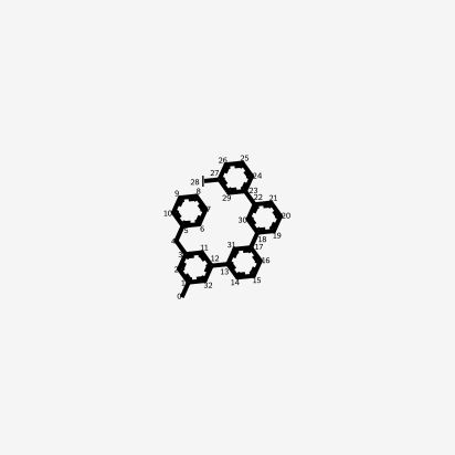 Cc1cc(Cc2ccccc2)cc(-c2cccc(-c3cccc(-c4cccc(I)c4)c3)c2)c1